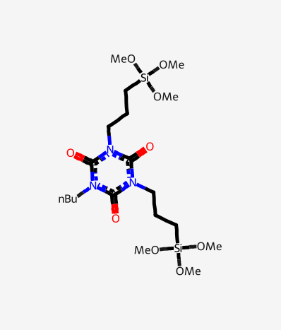 CCCCn1c(=O)n(CCC[Si](OC)(OC)OC)c(=O)n(CCC[Si](OC)(OC)OC)c1=O